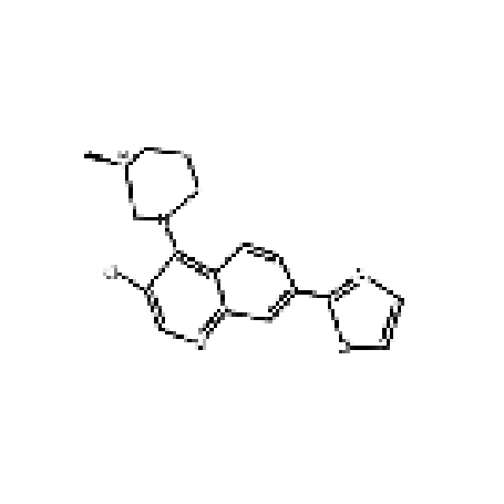 C[C@H]1[CH]CCN(c2c(Cl)cnc3cc(-c4ncco4)ccc23)C1